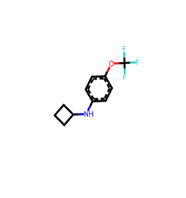 FC(F)(F)Oc1ccc(NC2CCC2)cc1